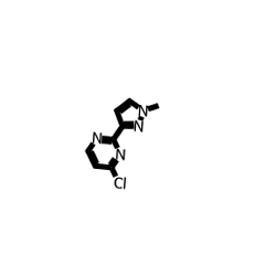 Cn1ccc(-c2nccc(Cl)n2)n1